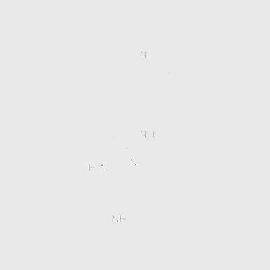 C=C/C(C=N)=C(N)\N=C(/C)NCCc1ccncc1C